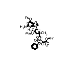 CCOc1nc(N)nc2c1ncn2[C@@H]1O[C@](C)(COP(=O)(N[C@H](C)C(=O)OC(C)C)Oc2ccccc2)C[C@@]1(C)OC